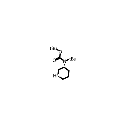 CC(C)(C)OC(=O)N([C@@H]1CCCNC1)C(C)(C)C